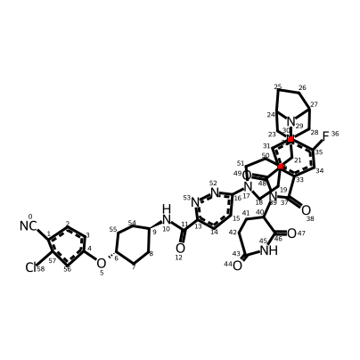 N#Cc1ccc(O[C@H]2CC[C@H](NC(=O)c3ccc(N4CCC(CN5CC6CCC(C5)N6c5cc6c(cc5F)C(=O)N(C5CCC(=O)NC5=O)C6=O)CC4)nn3)CC2)cc1Cl